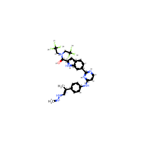 C=NN/C=C(\C)c1ccc(Nc2ccnc(-c3ccc4cc(C(=O)N(CC(F)(F)F)CC(F)(F)F)[nH]c4c3)n2)cc1